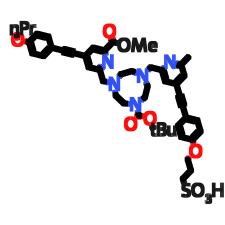 CCCOc1ccc(C#Cc2cc(CN3CCN(Cc4cc(C#Cc5ccc(OCCCS(=O)(=O)O)cc5)cc(C)n4)CCN(C(=O)OC(C)(C)C)CC3)nc(C(=O)OC)c2)cc1